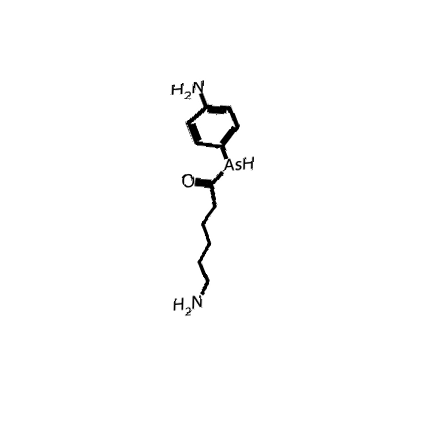 NCCCCCC(=O)[AsH]c1ccc(N)cc1